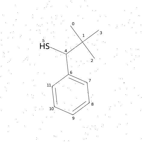 CC(C)(C)C(S)c1ccccc1